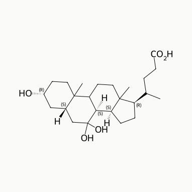 CC(CCC(=O)O)[C@H]1CC[C@H]2[C@@H]3C(CCC12C)C1(C)CC[C@@H](O)C[C@H]1CC3(O)O